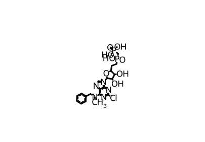 CN(Cc1ccccc1)c1nc(Cl)nc2c1ncn2C1OC(CCP(=O)(O)CP(=O)(O)O)C(O)C1O